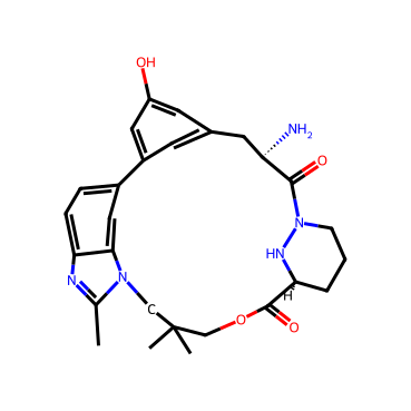 Cc1nc2ccc3cc2n1CC(C)(C)COC(=O)[C@@H]1CCCN(N1)C(=O)[C@@H](N)Cc1cc(O)cc-3c1